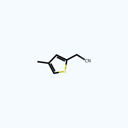 Cc1csc(CC#N)c1